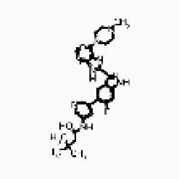 CN1CCN(c2ccnc3[nH]c(-c4n[nH]c5cc(F)c(-c6cncc(NC(O)CC(C)(C)C)c6)cc45)nc23)CC1